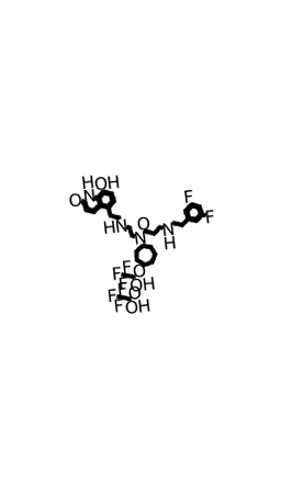 O=C(CCNCCc1cc(F)cc(F)c1)N(CCNCCc1ccc(O)c2[nH]c(=O)ccc12)C1CCCCCC1.O=C(O)C(F)(F)F.O=C(O)C(F)(F)F